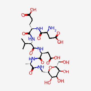 CC(C)[C@H](NC(=O)[C@H](CCC(=O)O)NC(=O)[C@@H](N)CC(=O)O)C(=O)N[C@@H](CC(=O)O)C(=O)N[C@@H](C)C(=O)NC[C@@H]1O[C@H](CO)C(O)C(O)[C@H]1O